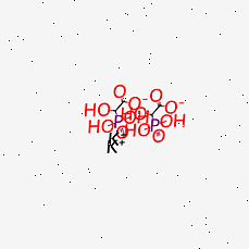 O=C([O-])C(O)P(=O)(O)O.O=C([O-])C(O)P(=O)(O)O.[K+].[K+]